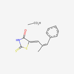 CC(=Cc1ccccc1)C=C1SC(=S)NC1=O.CC(=O)O